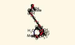 CNN(C)Cc1cc2ccccc2n1CCC(=O)NC(CO)C(=O)NCCOCCOCCOCCOCCOCCOCCC(=O)N(C)C(C)C(=O)O[C@]1(OC(=O)[C@H](C)N(C)C(C)=O)CC(=O)N(C)c2cc(cc(OC)c2Cl)C/C(C)=C/C=C/C(OC)[C@@]2(O)C[C@H](OC(=O)N2)[C@@H](C)[C@@H]2O[C@]21C